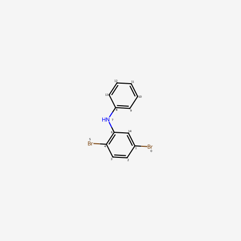 Brc1ccc(Br)c(Nc2ccccc2)c1